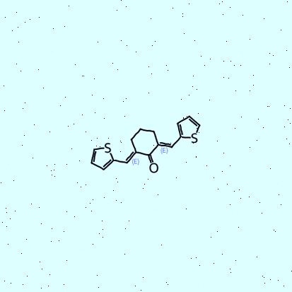 O=C1/C(=C/c2cccs2)CCC/C1=C\c1cccs1